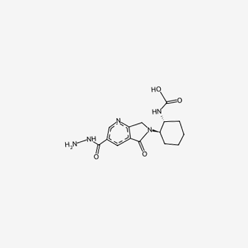 NNC(=O)c1cnc2c(c1)C(=O)N([C@@H]1CCCC[C@H]1NC(=O)O)C2